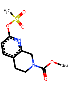 CC(C)(C)OC(=O)N1CCc2ccc(OS(=O)(=O)C(F)(F)F)nc2C1